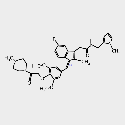 COc1cc(/C=C2/C(C)=C(CC(=O)NCc3cccn3C)c3cc(F)ccc32)cc(OC)c1OCC(=O)N1CCN(C)CC1